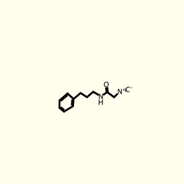 [C-]#[N+]CC(=O)NCCCc1ccccc1